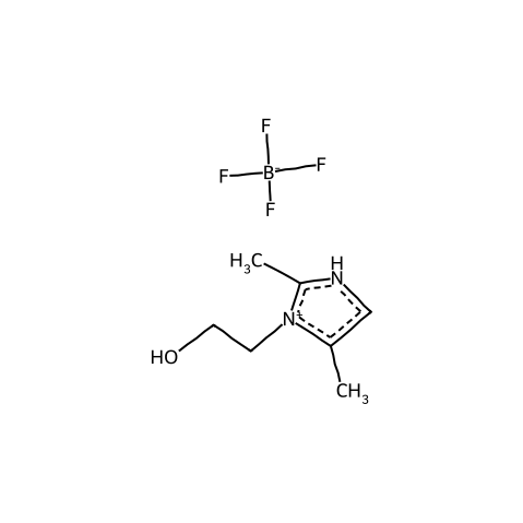 Cc1c[nH]c(C)[n+]1CCO.F[B-](F)(F)F